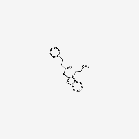 COCCn1c(=NC(=O)CCc2ccccc2)sc2ccccc21